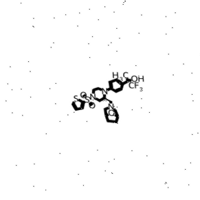 C[C@@](O)(c1ccc(N2CCN(S(=O)(=O)c3cccs3)C[C@@H]2CN2CC3CCC(C2)O3)cc1)C(F)(F)F